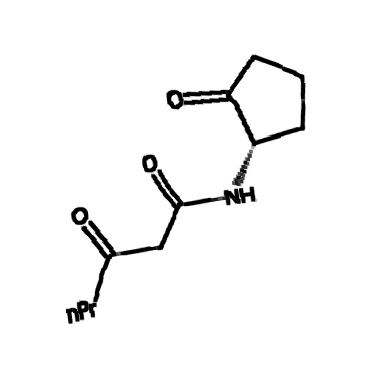 CCCC(=O)CC(=O)N[C@H]1CCCC1=O